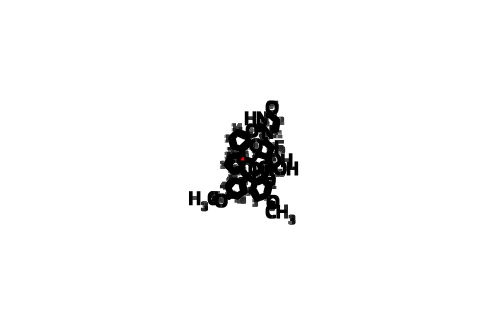 COc1ccc(C(OC(C(=O)c2ccccc2)[C@H]2O[C@@H](n3ccc(=O)[nH]c3=O)[C@H](F)[C@]2(O)O[PH](=O)O)(c2ccccc2)c2ccc(OC)cc2)cc1